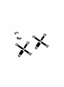 O=P([O-])([O-])[O-].O=P([O-])([O-])[O-].[Na+].[V+5]